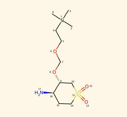 C[Si](C)(C)CCOCO[C@@H]1CS(=O)(=O)CC[C@H]1N